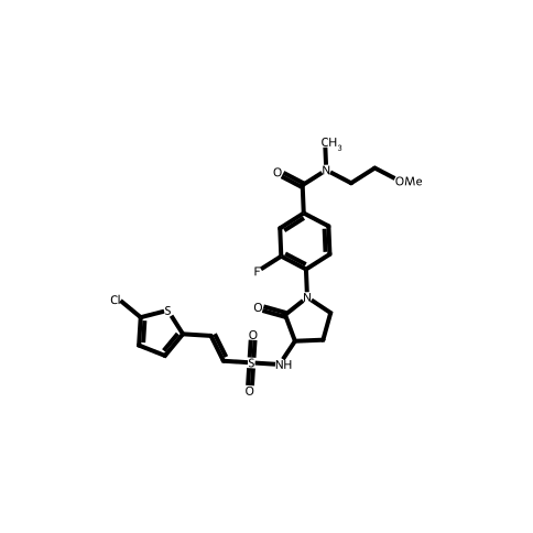 COCCN(C)C(=O)c1ccc(N2CCC(NS(=O)(=O)C=Cc3ccc(Cl)s3)C2=O)c(F)c1